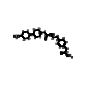 CC1CCN(C2CCN(CC(=O)NCCc3ccc(CC(N)=O)cc3)CC2)CC1